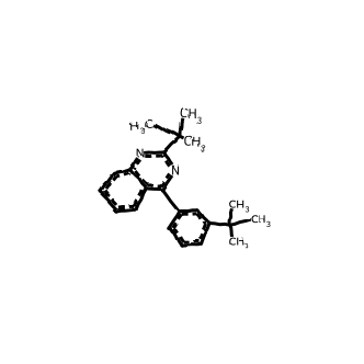 CC(C)(C)c1cccc(-c2nc(C(C)(C)C)nc3ccccc23)c1